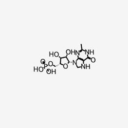 Cc1nc2c(c(=O)[nH]1)NCN2[C@@H]1O[C@H](COP(=O)(O)O)[C@@H](O)[C@H]1O